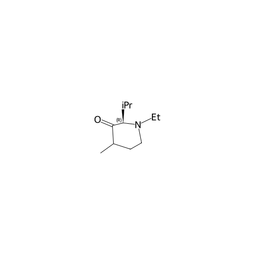 CCN1CCC(C)C(=O)[C@H]1C(C)C